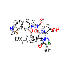 CC/C=C\CC(C)Oc1cc(-c2scnc2C)ccc1CNC(=O)[C@@H]1C[C@@H](O)CN1C(=O)[C@@H](NC(=O)C1(F)CC1)C(C)(C)C